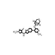 Cc1cc(-c2ccn3nc(Nc4cn(C)nc4F)cc3c2)c(OC2C[C@H]3COC[C@@H](C2)N3)cn1